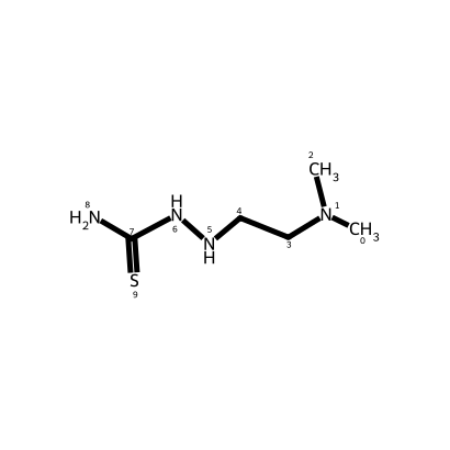 CN(C)CCNNC(N)=S